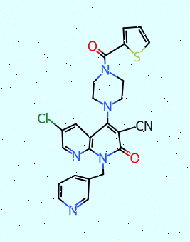 N#Cc1c(N2CCN(C(=O)c3cccs3)CC2)c2cc(Cl)cnc2n(Cc2cccnc2)c1=O